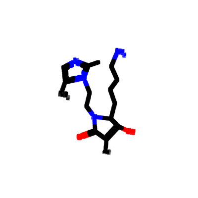 CC(=O)C1=C(O)C(CCCCN)N(CCn2c([N+](=O)[O-])cnc2C)C1=O